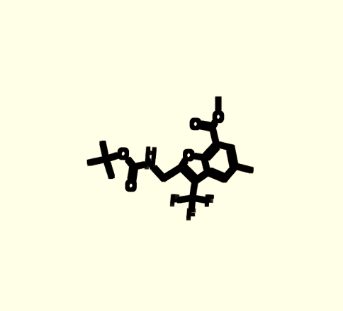 COC(=O)c1cc(C)cc2c(C(F)(F)F)c(CNC(=O)OC(C)(C)C)oc12